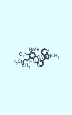 CNc1cc(OC)c(Nc2nccc(-c3cn(C)c4ncccc34)n2)c(CCN(C)C)c1[N+](=O)[O-]